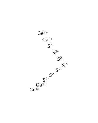 [Ga+3].[Ga+3].[Ge+4].[Ge+4].[S-2].[S-2].[S-2].[S-2].[S-2].[S-2].[S-2]